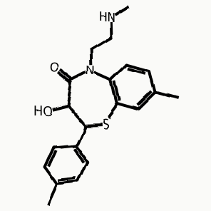 CNCCN1C(=O)C(O)C(c2ccc(C)cc2)Sc2cc(C)ccc21